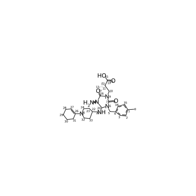 Cc1ccc(CN2C(=O)N(C[C@H](C)C(=O)O)C(=O)N(N)C2NC2CCN(C3=CCCCC3)CC2)cc1